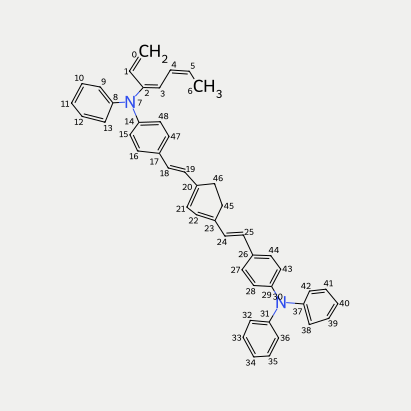 C=C/C(=C\C=C/C)N(c1ccccc1)c1ccc(/C=C/C2=CC=C(/C=C/c3ccc(N(c4ccccc4)c4ccccc4)cc3)CC2)cc1